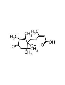 CC1=C(C)C(O)(/C=C/C(C)=C\C(=O)O)C(C)(C)CC1=O